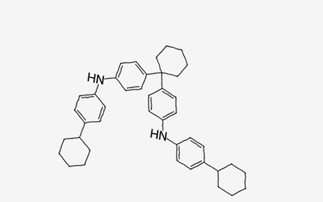 c1cc(C2CCCCC2)ccc1Nc1ccc(C2(c3ccc(Nc4ccc(C5CCCCC5)cc4)cc3)CCCCC2)cc1